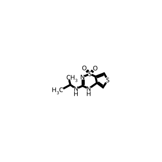 CC(C)NC1=NS(=O)(=O)c2cscc2N1